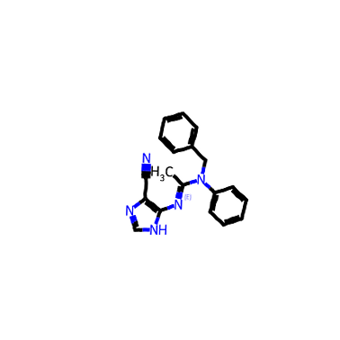 C/C(=N\c1[nH]cnc1C#N)N(Cc1ccccc1)c1ccccc1